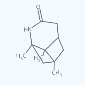 CC12CC3CC(=O)NC(C)(C1)C32C